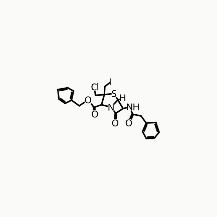 O=C(Cc1ccccc1)NC1C(=O)N2C(C(=O)OCc3ccccc3)C(CCl)(CI)S[C@H]12